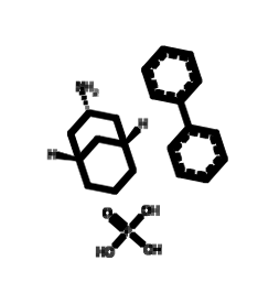 N[C@H]1C[C@H]2CCC[C@@H](C1)C2.O=P(O)(O)O.c1ccc(-c2ccccc2)cc1